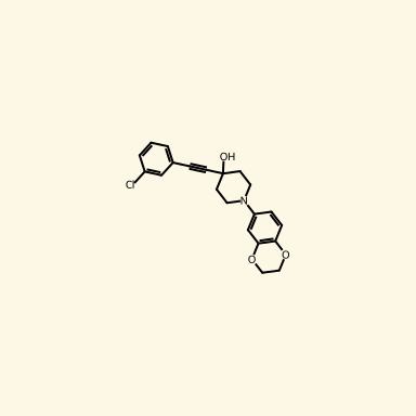 OC1(C#Cc2cccc(Cl)c2)CCN(c2ccc3c(c2)OCCO3)CC1